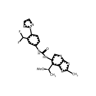 CO[C@H](C)c1c(NC(=O)Nc2ccc(-n3nccn3)c(C(F)F)c2)cnc2sc(C)nc12